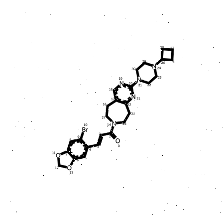 O=C(C=Cc1cc2c(cc1Br)OCO2)N1CCc2cnc(N3CCN(C4CCC4)CC3)nc2CC1